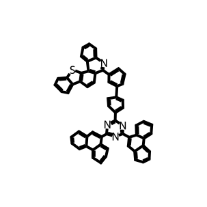 c1cc(-c2ccc(-c3nc(-c4cc5ccccc5c5ccccc45)nc(-c4cc5ccccc5c5ccccc45)n3)cc2)cc(-c2nc3ccccc3c3c2ccc2c4ccccc4sc23)c1